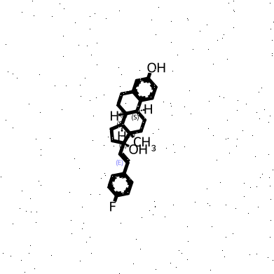 C[C@]12CC[C@@H]3c4ccc(O)cc4CC[C@H]3[C@@H]1CC[C@@]2(O)/C=C/c1ccc(F)cc1